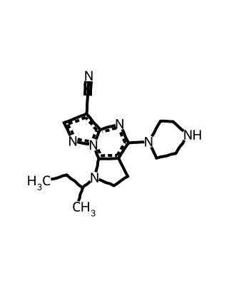 CCC(C)N1CCc2c(N3CCNCC3)nc3c(C#N)cnn3c21